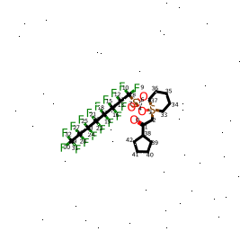 O=C(CS1(OS(=O)(=O)C(F)(F)C(F)(F)C(F)(F)C(F)(F)C(F)(F)C(F)(F)C(F)(F)C(F)(F)F)CCCCC1)C1CCCC1